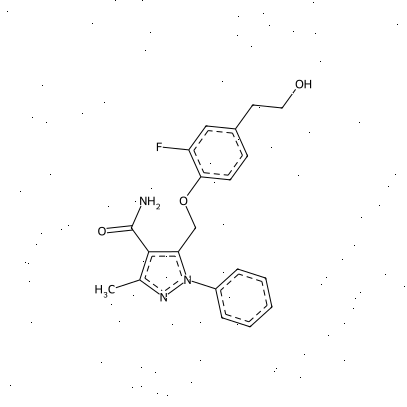 Cc1nn(-c2ccccc2)c(COc2ccc(CCO)cc2F)c1C(N)=O